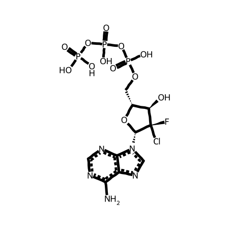 Nc1ncnc2c1ncn2[C@@H]1O[C@H](COP(=O)(O)OP(=O)(O)OP(=O)(O)O)[C@@H](O)[C@]1(F)Cl